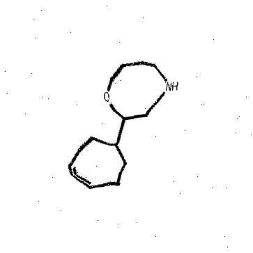 C1=CCC(C2CNCCO2)CC1